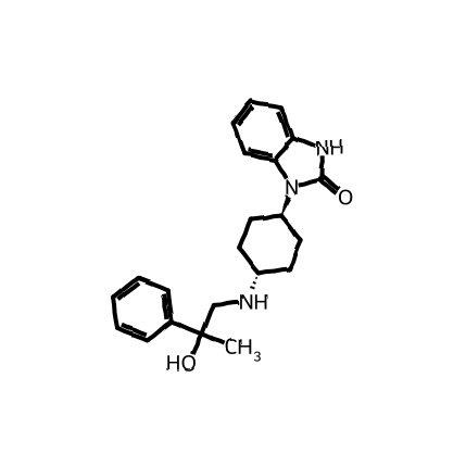 CC(O)(CN[C@H]1CC[C@H](n2c(=O)[nH]c3ccccc32)CC1)c1ccccc1